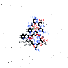 CN[C@@H](CCN)C(=O)N[C@@H](CCN)C(=O)N[C@H](C(=O)NCC[C@H](NC(=O)[C@H](CCN)NC(=O)[C@@H](NC(=O)[C@H](CCN)NC(=O)Nc1ccccc1Cl)[C@@H](C)O)C(=O)N[C@@H](CCN)C(=O)N[C@H](Cc1ccccc1)C(=O)NC(C=O)C(C)C)[C@@H](C)O